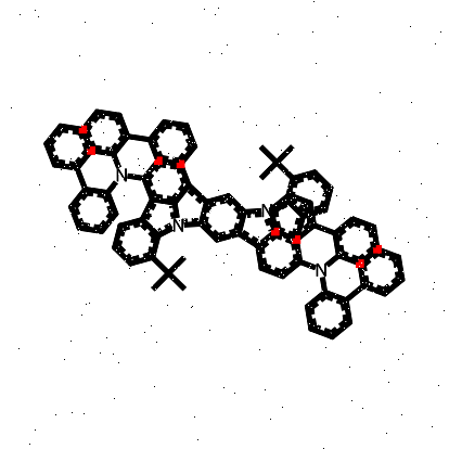 CC(C)(C)c1cccc2c3c(N(c4ccccc4-c4ccccc4)c4ccccc4-c4ccccc4)ccc4c5cc6c(cc5n(c12)c43)c1ccc(N(c2ccccc2-c2ccccc2)c2ccccc2-c2ccccc2)c2c3cccc(C(C)(C)C)c3n6c12